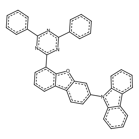 c1ccc(-c2nc(-c3ccccc3)nc(-c3cccc4c3oc3cc(-n5c6ccccc6c6ccccc65)ccc34)n2)cc1